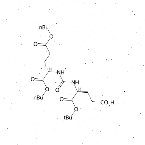 CCCCOC(=O)CC[C@H](NC(=O)N[C@@H](CCC(=O)O)C(=O)OC(C)(C)C)C(=O)OCCCC